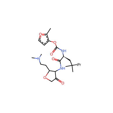 Cc1occc1OC(=O)N[C@@H](CC(C)(C)C(C)C)C(=O)NC1C(=O)COC1CCN(C)C